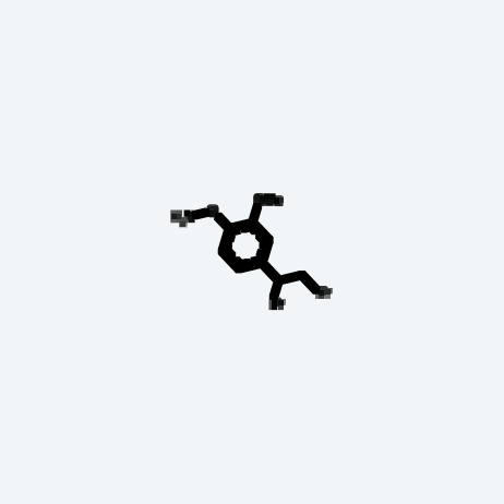 COc1cc(C(CC(C)C)C(C)C)ccc1ON